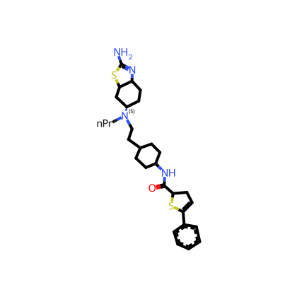 CCCN(CCC1CCC(NC(=O)C2CC=C(c3ccccc3)S2)CC1)[C@H]1CCC2N=C(N)SC2C1